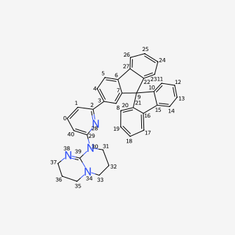 c1cc(-c2ccc3c(c2)C2(c4ccccc4-c4ccccc42)c2ccccc2-3)nc(N2CCCN3CCCN=C32)c1